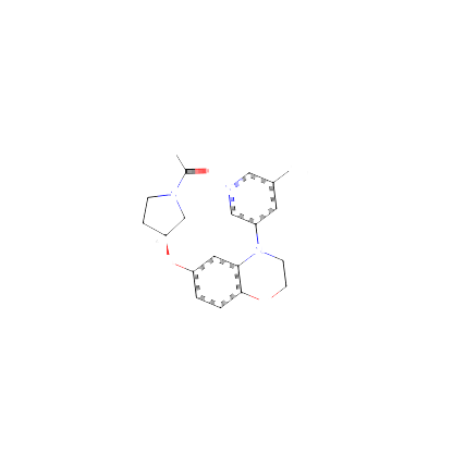 CCC(=O)N1CC[C@H](Oc2ccc3c(c2)N(c2cncc(C(F)(F)F)c2)CCO3)C1